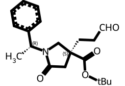 C[C@H](c1ccccc1)N1C[C@@](CCC=O)(C(=O)OC(C)(C)C)CC1=O